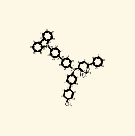 C=C=C(/C=C\C(=C/C)N(c1ccc(C2=CCC(C)C=C2)cc1)c1ccc(-c2ccc(-n3c4ccccc4c4ccccc43)cc2)cc1)c1ccccc1